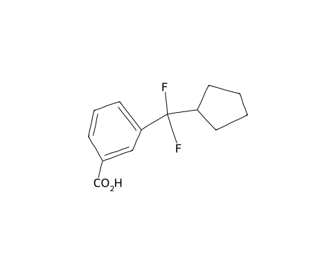 O=C(O)c1cccc(C(F)(F)C2CCCC2)c1